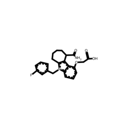 NC(=O)C1CCCCc2c1c1c(OCC(=O)O)cccc1n2Cc1cccc(F)c1